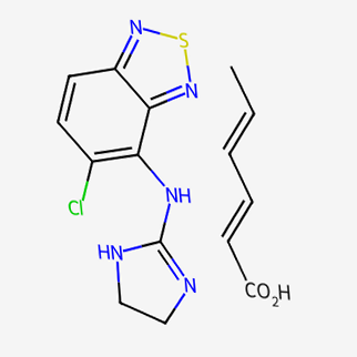 C/C=C/C=C/C(=O)O.Clc1ccc2nsnc2c1NC1=NCCN1